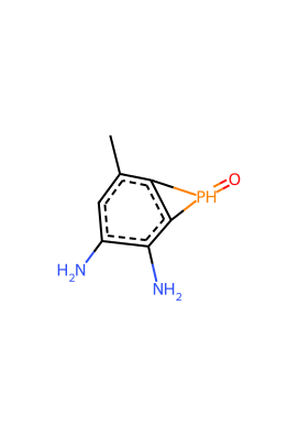 Cc1cc(N)c(N)c2c1[PH]2=O